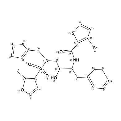 Cc1oncc1S(=O)(=O)N(Cc1cccs1)CC(O)C(Cc1ccccc1)NC(=O)c1sccc1Br